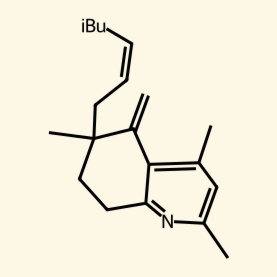 C=C1c2c(C)cc(C)nc2CCC1(C)C/C=C\C(C)CC